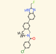 CCCN(Cc1cc(-c2ccc3nc(CF)[nH]c3c2)ccc1C)C(=O)c1ccc(Cl)cc1